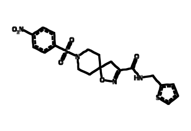 O=C(NCc1cccs1)C1=NOC2(CCN(S(=O)(=O)c3ccc([N+](=O)[O-])cc3)CC2)C1